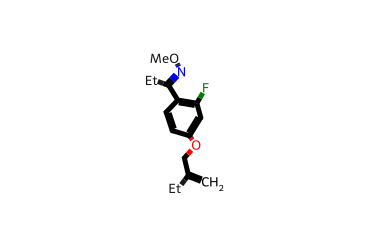 C=C(CC)COc1ccc(/C(CC)=N/OC)c(F)c1